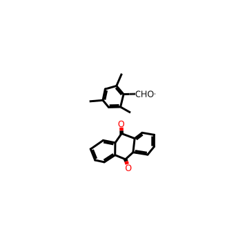 Cc1cc(C)c([C]=O)c(C)c1.O=C1c2ccccc2C(=O)c2ccccc21